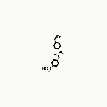 CC(C)C[C@H]1CC[C@H](C(=O)NC[C@H]2CC[C@H](C(=O)O)CC2)CC1